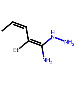 C/C=C\C(CC)=C(\N)NN